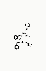 CC(C)N(C)C(=O)N[C@@H](CCN1CCOCC1)C(=O)N[C@@H](CC[C@@H](Cc1ccccc1)NC(=O)OCc1cncs1)Cc1ccccc1